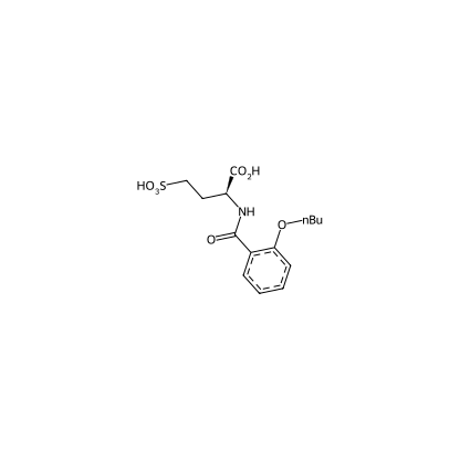 CCCCOc1ccccc1C(=O)N[C@@H](CCS(=O)(=O)O)C(=O)O